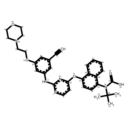 C#Cc1cc(Nc2nccc(Oc3ccc(N(C(=O)O)C(C)(C)C)c4ccccc34)n2)cc(OCCN2CCOCC2)c1